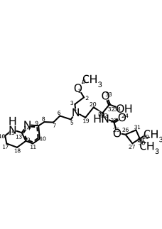 COCCN(CCCCc1ccc2c(n1)NCCC2)CC[C@H](NC(=O)OC1CC(C)(C)C1)C(=O)O